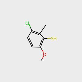 COc1ccc(Cl)c(C)c1S